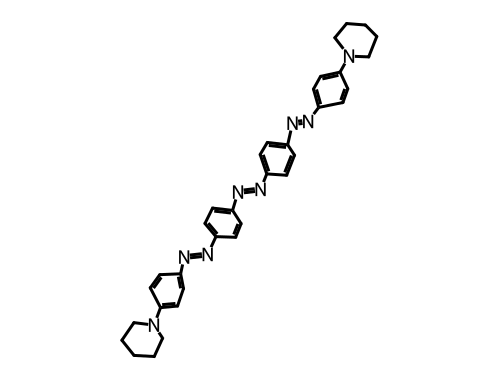 c1cc(/N=N/c2ccc(N3CCCCC3)cc2)ccc1/N=N/c1ccc(/N=N/c2ccc(N3CCCCC3)cc2)cc1